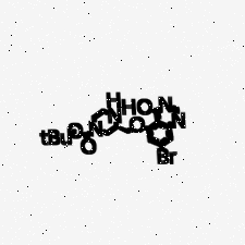 CC(C)(C)OC(=O)N1CCN[C@@H](COc2cc(Br)cc3ncnc(O)c23)C1